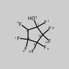 OC1(F)C(F)C(F)(F)C(F)(F)C1(F)F